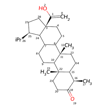 C=C(O)[C@@]12CCC3C(CCC4[C@@]3(C)CCC3[C@@H](C)C(=O)CC[C@@]34C)C1[C@@H](C(C)C)CC2